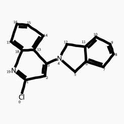 Clc1cc(N2Cc3ccccc3C2)c2ccccc2n1